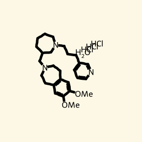 COc1cc2c(cc1OC)CCN(CC1CCCCN(CCCc3cccnc3)C1)CC2.Cl.Cl.Cl.O